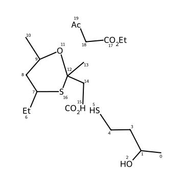 CC(O)CCS.CCC1CC(C)OC(C)(CC(=O)O)S1.CCOC(=O)CC(C)=O